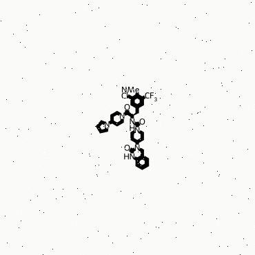 CNc1c(Cl)cc(C[C@@H](NC(=O)N2CCC(N3Cc4ccccc4NC3=O)CC2)C(=O)N2CCC(N3CCCC3)CC2)cc1C(F)(F)F